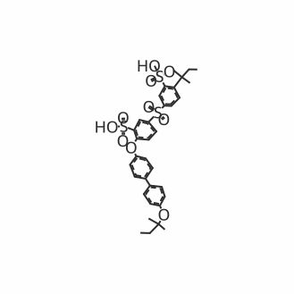 CCC(C)(C)Oc1ccc(-c2ccc(Oc3ccc(S(=O)(=O)c4ccc(C(C)(C)CC)c(S(=O)(=O)O)c4)cc3S(=O)(=O)O)cc2)cc1